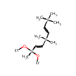 CCO[Si](C)(C=C[Si](C)(C)C=C[Si](C)(C)C)OCC